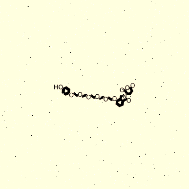 O=C1CCC(N2Cc3c(OCCOCCOCCOCCOCCOc4ccc(O)cc4)cccc3C2=O)C(=O)O1